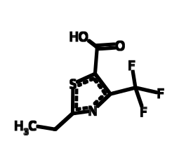 CCc1nc(C(F)(F)F)c(C(=O)O)s1